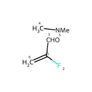 C=C(F)C=O.CNC